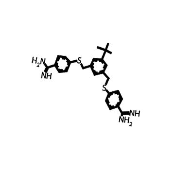 CC(C)(C)c1cc(CSc2ccc(C(=N)N)cc2)cc(CSc2ccc(C(=N)N)cc2)c1